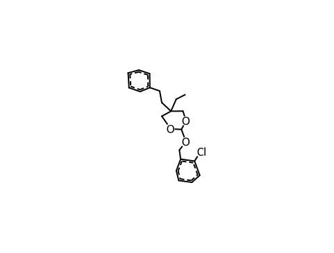 CCC1(CCc2ccccc2)COC(OCc2ccccc2Cl)OC1